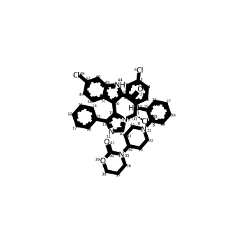 C[C@@H](c1ccc(Cl)cc1)n1cnc(-c2ccccc2)c1-c1c(C(=O)Nc2ccccc2N2CCC(N3CCCOC3=O)CC2)[nH]c2cc(Cl)ccc12